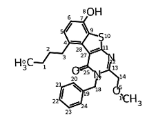 CCCCc1ccc(O)c2sc3nc(COC)n(Cc4ccccc4)c(=O)c3c12